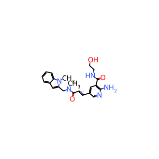 CN(Cc1cc2ccccc2n1C)C(=O)/C=C/c1cnc(N)c(C(=O)NCCO)c1